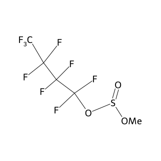 COS(=O)OC(F)(F)C(F)(F)C(F)(F)C(F)(F)F